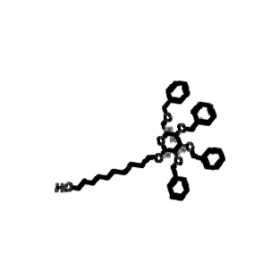 OCCCCCCCCCCO[C@H]1O[C@H](COCc2ccccc2)[C@@H](OCc2ccccc2)[C@H](OCc2ccccc2)[C@@H]1OCc1ccccc1